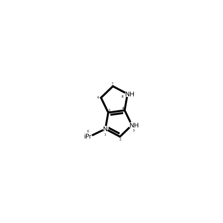 CC(C)[n+]1c[nH]c2c1CCN2